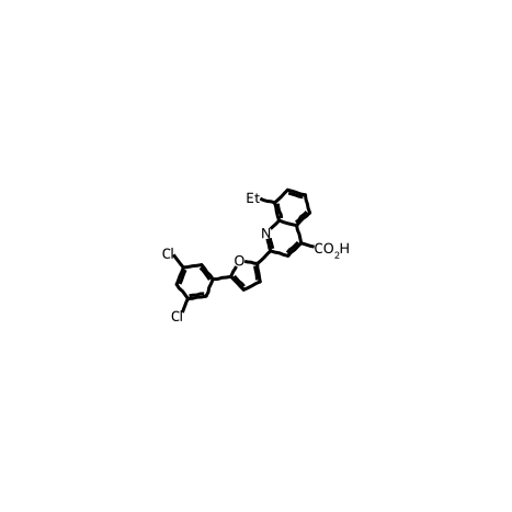 CCc1cccc2c(C(=O)O)cc(-c3ccc(-c4cc(Cl)cc(Cl)c4)o3)nc12